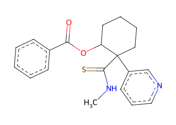 CNC(=S)C1(c2cccnc2)CCCCC1OC(=O)c1ccccc1